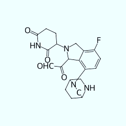 O=CC(=O)C1c2c(N3CC4CCC3CN4)ccc(F)c2CN1C1CCC(=O)NC1=O